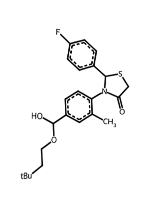 Cc1cc(C(O)OCCC(C)(C)C)ccc1N1C(=O)CSC1c1ccc(F)cc1